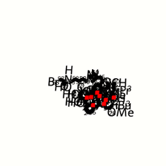 CC[C@H](C)[C@@H]([C@@H](CC(=O)N1CCC[C@H]1[C@H](OC)[C@@H](C)C(=O)N[C@H](C)[C@@H](O)c1ccccc1)OC)N(C)C(=O)[C@@H](NC(=O)[C@H](C(C)C)N(C)C(=O)OC(Cc1cn(CCCCCNC(=O)CBr)nn1)c1ccc(O[C@@H]2O[C@H](C(=O)O)[C@@H](O)[C@H](O)[C@H]2O)c([N+](=O)[O-])c1)C(C)C